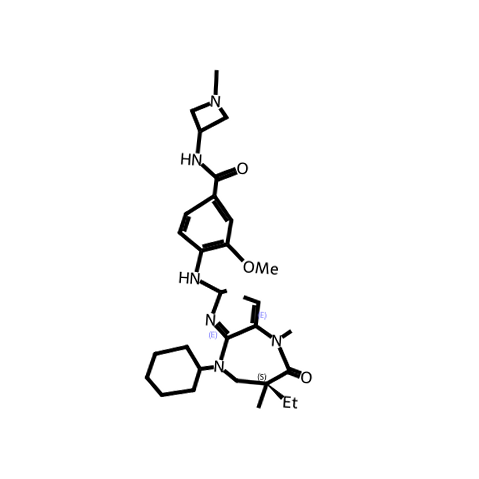 C/C=C1\C(=N/C(C)Nc2ccc(C(=O)NC3CN(C)C3)cc2OC)N(C2CCCCC2)C[C@](C)(CC)C(=O)N1C